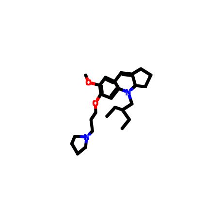 CCC(CC)CN1c2cc(OCCCN3CCCC3)c(OC)cc2C=C2CCCC21